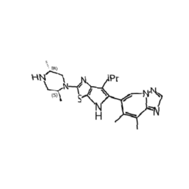 Cc1c(-c2[nH]c3sc(N4C[C@@H](C)NC[C@@H]4C)nc3c2C(C)C)cn2ncnc2c1C